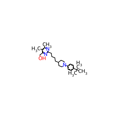 Cc1nc(CCCCC2CCN(c3ccc(C(C)(C)C)cc3)CC2)nc(CO)c1C